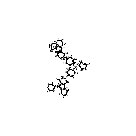 c1ccc(-n2c3ccccc3c3cc(-c4ccc5c(c4)c4cc(-c6cc7c(cn6)-c6cncc8cccc-7c68)ccc4n5-c4ccccc4)ccc32)cc1